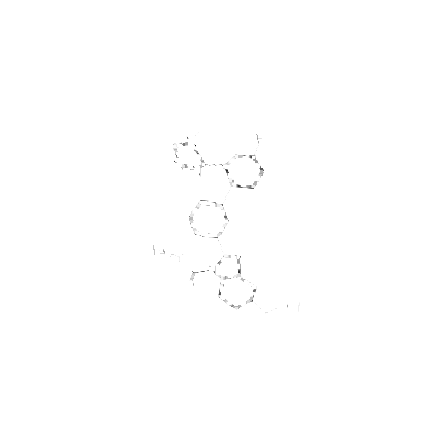 Cn1cnnc1-c1cc(F)ccc1-c1cccc(-c2cc3cc(CO)ccc3n2C(=O)OC(C)(C)C)c1